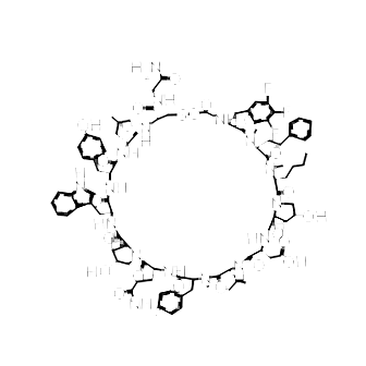 CCCC[C@H]1C(=O)N2C[C@H](O)C[C@@H]2C(=O)N[C@@H](CC(=O)O)C(=O)N[C@@H](C(C)C)C(=O)N(C)C(Cc2ccccc2)C(=O)N[C@@H](CCC(N)=O)C(=O)N2C[C@H](O)C[C@H]2C(=O)N[C@@H](Cc2c[nH]c3ccccc23)C(=O)N[C@@H](Cc2ccc(O)cc2)C(=O)N[C@@H](CC(C)C)C(=O)N[C@H](C(=O)NCC(N)=O)CSCC(=O)N[C@@H](Cc2cc(F)c(F)c(F)c2)C(=O)N(C)[C@@H](CCc2ccccc2)C(=O)N1C